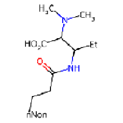 CCCCCCCCCCCC(=O)NC(CC)C(C(=O)O)N(C)C